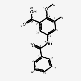 COc1c(C)cc(NC(=O)c2ccccc2)cc1C(=O)O